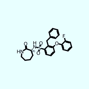 O=C1NCCCC[C@H]1NS(=O)(=O)c1cccc(Oc2ccccc2F)c1Cc1ccccc1